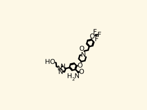 NC(=O)c1cc(-c2cnn(CCO)n2)ccc1OC1CCN(C(=O)Cc2ccc(OC(F)(F)F)cc2)CC1